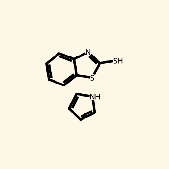 Sc1nc2ccccc2s1.c1cc[nH]c1